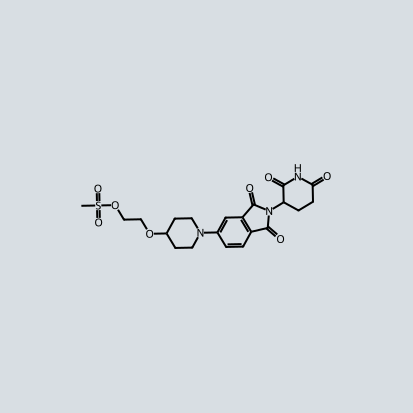 CS(=O)(=O)OCCOC1CCN(c2ccc3c(c2)C(=O)N(C2CCC(=O)NC2=O)C3=O)CC1